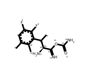 Cc1cc(F)c(F)c(C(C)[C@H](N)C(=N)OC(N)=O)c1C